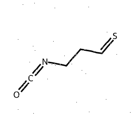 O=C=NCCC=S